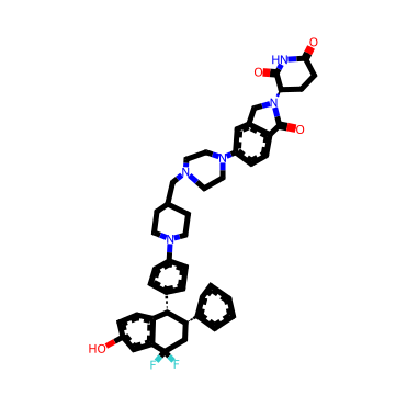 O=C1CC[C@H](N2Cc3cc(N4CCN(CC5CCN(c6ccc([C@H]7c8ccc(O)cc8C(F)(F)C[C@H]7c7ccccc7)cc6)CC5)CC4)ccc3C2=O)C(=O)N1